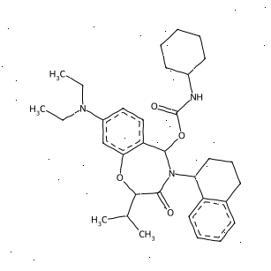 CCN(CC)c1ccc2c(c1)OC(C(C)C)C(=O)N(C1CCCc3ccccc31)C2OC(=O)NC1CCCCC1